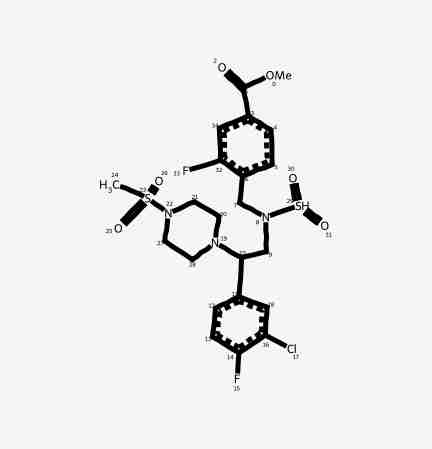 COC(=O)c1ccc(CN(CC(c2ccc(F)c(Cl)c2)N2CCN(S(C)(=O)=O)CC2)[SH](=O)=O)c(F)c1